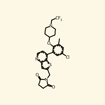 Cc1cc(Cl)cc(-c2ccnc3cc(CN4C(=O)CCC4=O)sc23)c1OC1CCN(CC(F)(F)F)CC1